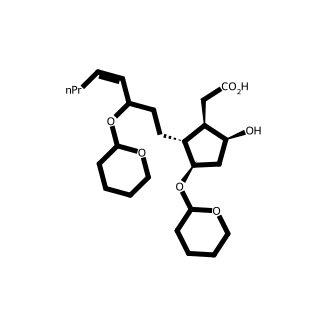 CCC/C=C\C(CC[C@@H]1[C@@H](CC(=O)O)[C@@H](O)C[C@H]1OC1CCCCO1)OC1CCCCO1